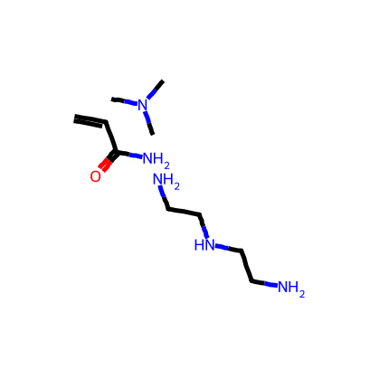 C=CC(N)=O.CN(C)C.NCCNCCN